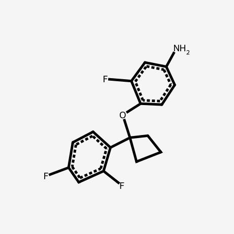 Nc1ccc(OC2(c3ccc(F)cc3F)CCC2)c(F)c1